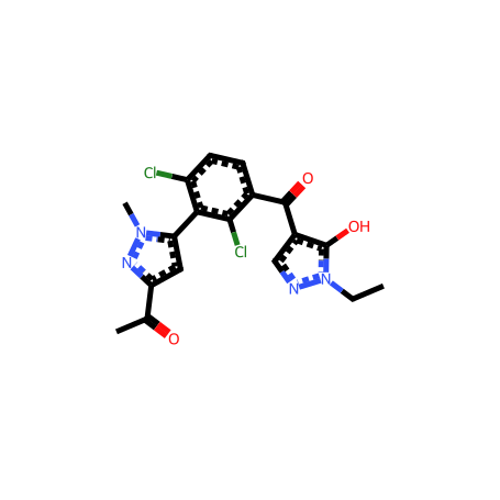 CCn1ncc(C(=O)c2ccc(Cl)c(-c3cc(C(C)=O)nn3C)c2Cl)c1O